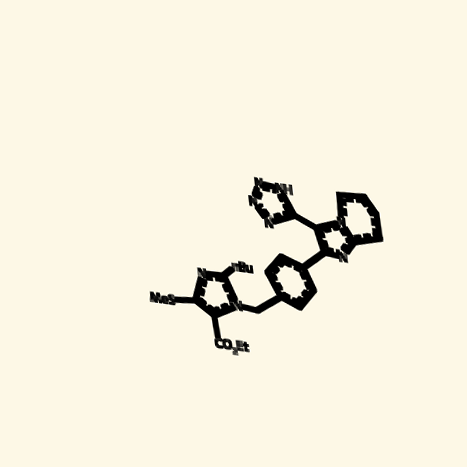 CCCCc1nc(SC)c(C(=O)OCC)n1Cc1ccc(-c2nc3ccccn3c2-c2nnn[nH]2)cc1